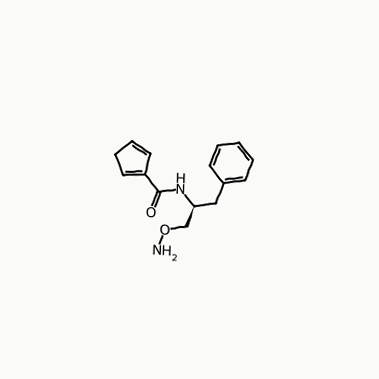 NOC[C@H](Cc1ccccc1)NC(=O)C1=CCC=C1